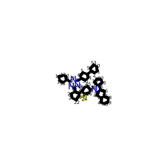 c1ccc(-c2ccc(-c3nc(-c4ccccc4)nc(-c4cccc5sc6cc(-n7c8ccccc8c8cc9ccccc9cc87)ccc6c45)n3)cc2)cc1